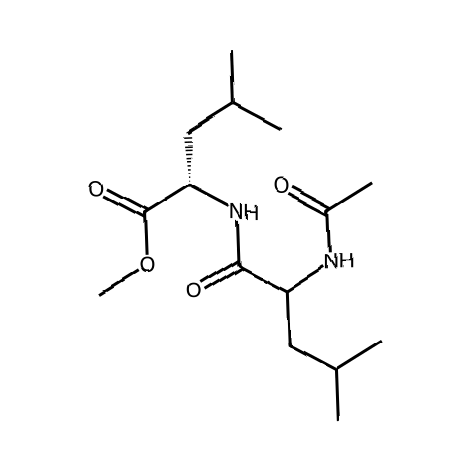 COC(=O)[C@H](CC(C)C)NC(=O)C(CC(C)C)NC(C)=O